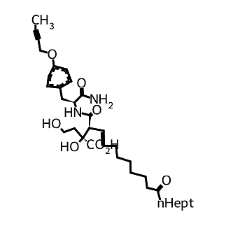 CC#CCOc1ccc(C[C@H](NC(=O)[C@@H](/C=C/CCCCCCC(=O)CCCCCCC)[C@@](O)(CCO)C(=O)O)C(N)=O)cc1